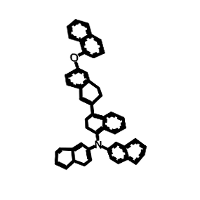 C1=CC2=CC(N(C3=c4ccccc4=C(C4=Cc5ccc(Oc6cccc7ccccc67)cc5CC4)CC3)c3ccc4ccccc4c3)=CCC2C=C1